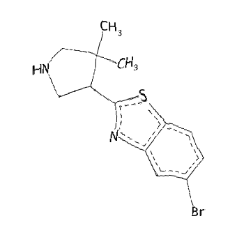 CC1(C)CNCC1c1nc2cc(Br)ccc2s1